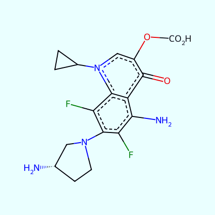 Nc1c(F)c(N2CC[C@H](N)C2)c(F)c2c1c(=O)c(OC(=O)O)cn2C1CC1